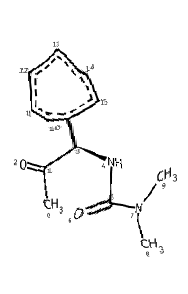 CC(=O)[C@H](NC(=O)N(C)C)c1ccccc1